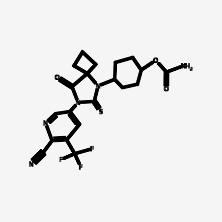 N#Cc1ncc(N2C(=O)C3(CCC3)N(C3CCC(OC(N)=O)CC3)C2=S)cc1C(F)(F)F